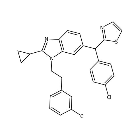 Clc1ccc(C(c2ccc3nc(C4CC4)n(CCc4cccc(Cl)c4)c3c2)c2nccs2)cc1